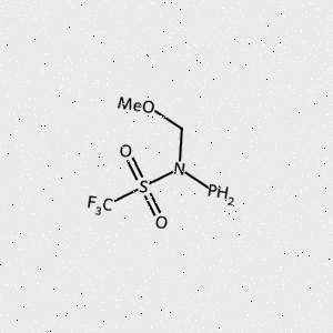 COCN(P)S(=O)(=O)C(F)(F)F